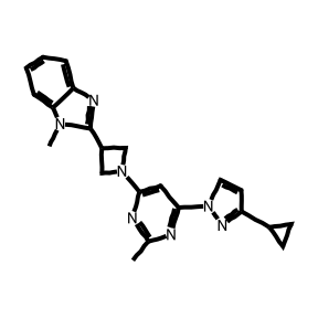 Cc1nc(N2CC(c3nc4ccccc4n3C)C2)cc(-n2ccc(C3CC3)n2)n1